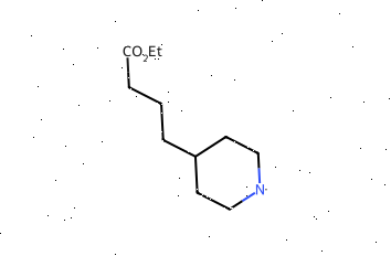 CCOC(=O)CCCC1CC[N]CC1